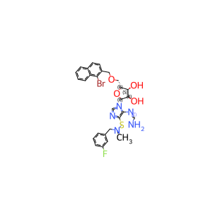 CN(Cc1cccc(F)c1)Sc1ncn([C@@H]2O[C@H](COCc3ccc4ccccc4c3Br)[C@@H](O)[C@H]2O)c1/N=C\N